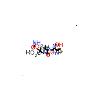 NC(=O)OCC1(C(=O)O)CS[C@@H]2C(NC(=O)C(=NO)c3cscn3)C(=O)N2C1